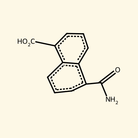 NC(=O)c1[c]ccc2c(C(=O)O)cccc12